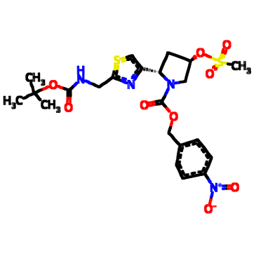 CC(C)(C)OC(=O)NCc1nc([C@@H]2C[C@@H](OS(C)(=O)=O)CN2C(=O)OCc2ccc([N+](=O)[O-])cc2)cs1